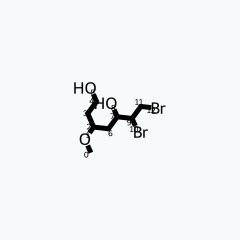 COC(CCO)CC(O)C(Br)CBr